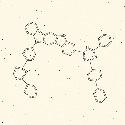 c1ccc(-c2ccc(-c3nc(-c4ccccc4)nc(-c4ccc5c(c4)oc4cc6c7ccccc7n(-c7ccc(-c8cccc(-c9ccccc9)c8)cc7)c6cc45)n3)cc2)cc1